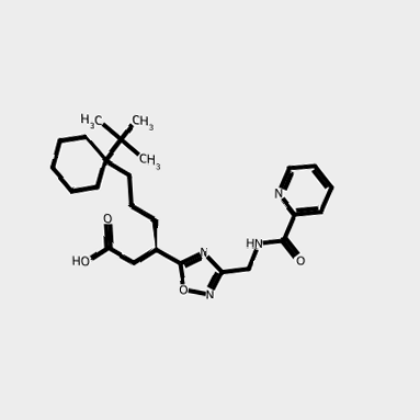 CC(C)(C)C1(CCC[C@H](CC(=O)O)c2nc(CNC(=O)c3ccccn3)no2)CCCCC1